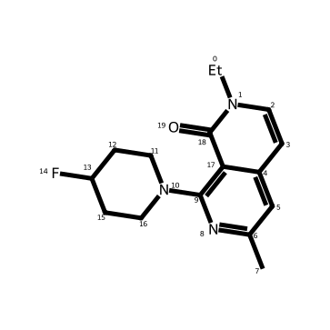 CCn1ccc2cc(C)nc(N3CCC(F)CC3)c2c1=O